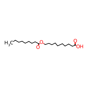 CCCCCCCCC(=O)OCCCCCCCCCC(=O)O